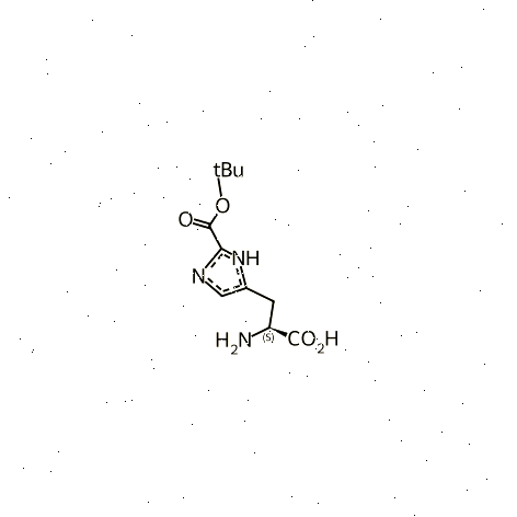 CC(C)(C)OC(=O)c1ncc(C[C@H](N)C(=O)O)[nH]1